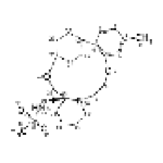 Cc1ccc2c(c1)OCCN1CCC[C@H](NS(C)(=O)=O)[C@@H]1COC1CCC2CC1